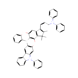 CCC1=C(/C=C\CN(c2ccccc2)c2ccccc2)c2cc3c4c(c2C1(C)C)Oc1cc2c(cc1B4c1ccccc1O3)c1ccccc1n2-c1ccccc1